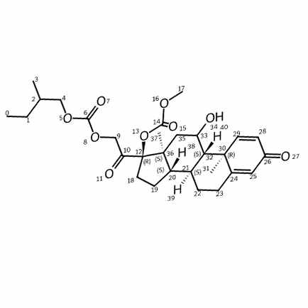 CCC(C)COC(=O)OCC(=O)[C@@]1(OC(=O)OC)CC[C@H]2[C@@H]3CCC4=CC(=O)C=C[C@]4(C)[C@H]3C(O)C[C@@]21C